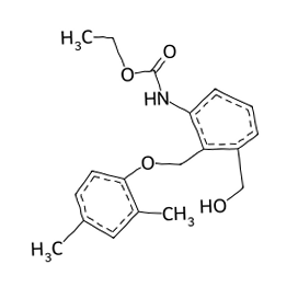 CCOC(=O)Nc1cccc(CO)c1COc1ccc(C)cc1C